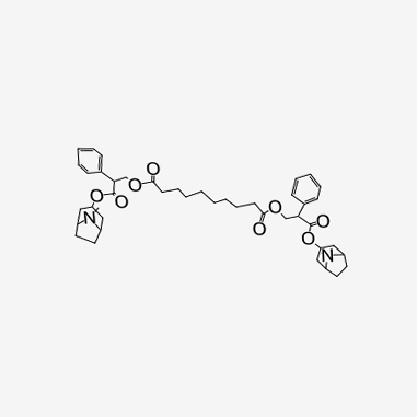 CN1C2CCC1CC(OC(=O)C(COC(=O)CCCCCCCCC(=O)OCC(C(=O)OC1CC3CCC(C1)N3C)c1ccccc1)c1ccccc1)C2